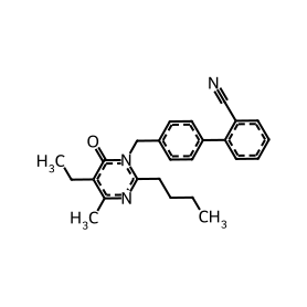 CCCCc1nc(C)c(CC)c(=O)n1Cc1ccc(-c2ccccc2C#N)cc1